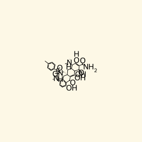 Cc1ccc(S(=O)(=O)NC[C@@]23Cc4c(N(C)C)ccc(O)c4C(=O)C2=C(O)[C@]2(O)C(=O)C(C(N)=O)=C(O)[C@@H](N(C)C)[C@@H]2C3)cc1